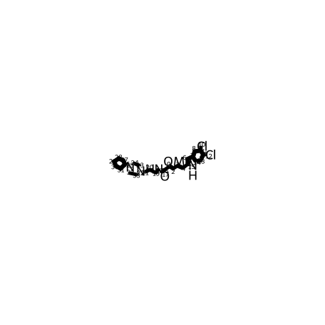 CO/C(=C\C=C\c1cc2cc(Cl)c(Cl)cc2[nH]1)C(=O)NCCCN1CCN(c2ccccc2)CC1